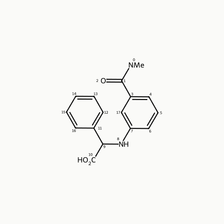 CNC(=O)c1cccc(NC(C(=O)O)c2ccccc2)c1